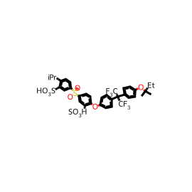 CCC(C)(C)Oc1ccc(C(c2ccc(Oc3ccc(S(=O)(=O)c4ccc(C(C)C)c(S(=O)(=O)O)c4)cc3S(=O)(=O)O)cc2)(C(F)(F)F)C(F)(F)F)cc1